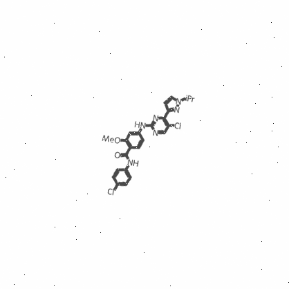 COc1cc(Nc2ncc(Cl)c(-c3ccn(C(C)C)n3)n2)ccc1C(=O)Nc1ccc(Cl)cc1